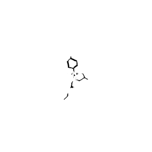 CCOC(=O)CN(CC(C)C)S(=O)(=O)c1ccc(O)cc1